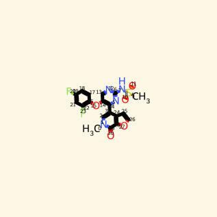 Cn1cc(-c2nc(NS(C)(=O)=O)ncc2Oc2ccc(F)cc2F)c2ccoc2c1=O